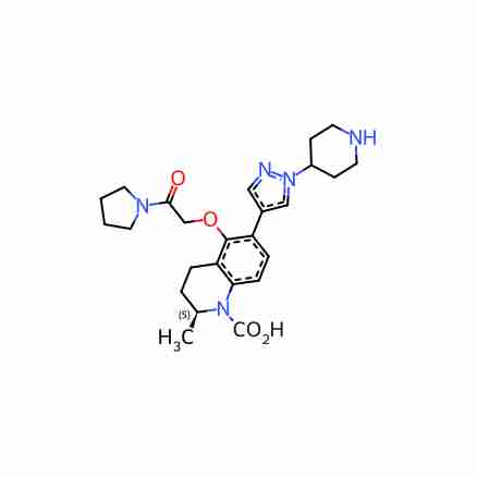 C[C@H]1CCc2c(ccc(-c3cnn(C4CCNCC4)c3)c2OCC(=O)N2CCCC2)N1C(=O)O